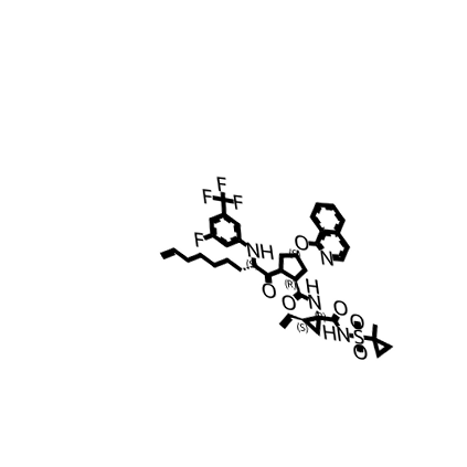 C=CCCCCC[C@H](Nc1cc(F)cc(C(F)(F)F)c1)C(=O)C1C[C@H](Oc2nccc3ccccc23)C[C@H]1C(=O)N[C@]1(C(=O)NS(=O)(=O)C2(C)CC2)C[C@H]1C=C